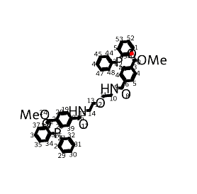 COC(=O)c1ccc(C(=O)NCCOCCNC(=O)c2ccc(C(=O)OC)c(P(c3ccccc3)c3ccccc3)c2)cc1P(c1ccccc1)c1ccccc1